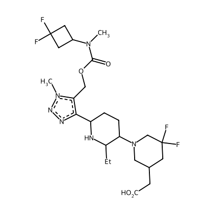 CCC1NC(c2nnn(C)c2COC(=O)N(C)C2CC(F)(F)C2)CCC1N1CC(CC(=O)O)CC(F)(F)C1